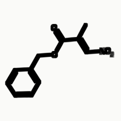 CC(=C[N+](=O)[O-])C(=O)OCc1ccccc1